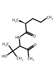 CCC[C@H](C)C(=O)NC(C(C)=O)C(C)(C)O